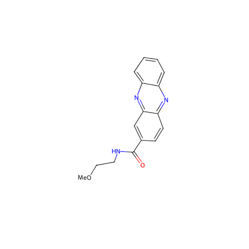 COCCNC(=O)c1ccc2nc3ccccc3nc2c1